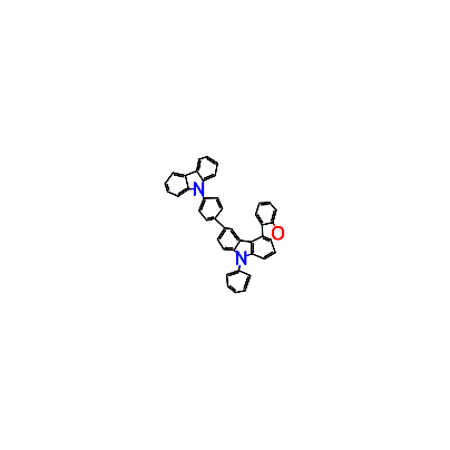 c1ccc(-n2c3ccc(-c4ccc(-n5c6ccccc6c6ccccc65)cc4)cc3c3c4c(ccc32)oc2ccccc24)cc1